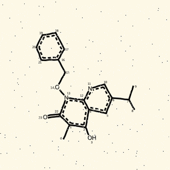 Cc1c(O)c2cc(C(C)C)cnc2n(OCc2ccccc2)c1=O